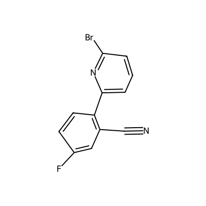 N#Cc1cc(F)ccc1-c1cccc(Br)n1